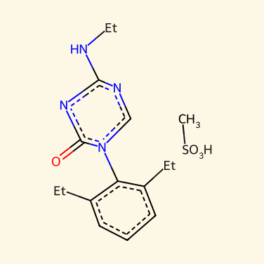 CCNc1ncn(-c2c(CC)cccc2CC)c(=O)n1.CS(=O)(=O)O